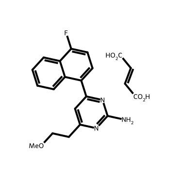 COCCc1cc(-c2ccc(F)c3ccccc23)nc(N)n1.O=C(O)C=CC(=O)O